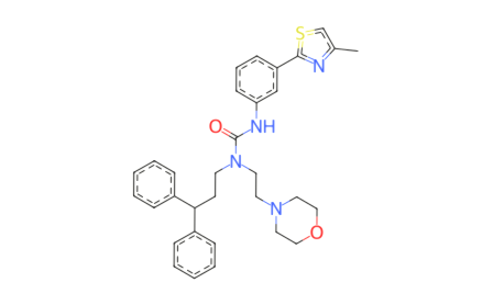 Cc1csc(-c2cccc(NC(=O)N(CCC(c3ccccc3)c3ccccc3)CCN3CCOCC3)c2)n1